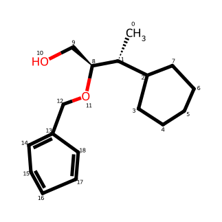 C[C@H](C1CCCCC1)[C@H](CO)OCc1ccccc1